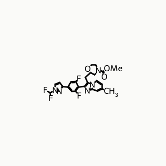 COC(=O)N1CCOC(Cc2c(-c3c(F)cc(-c4ccn(C(F)F)n4)cc3F)nc3cc(C)ccn23)C1